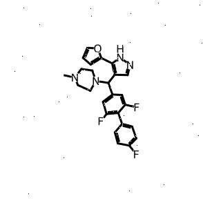 CN1CCN(C(c2cc(F)c(-c3ccc(F)cc3)c(F)c2)c2cn[nH]c2-c2ccco2)CC1